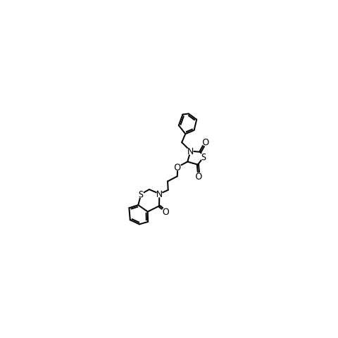 O=C1SC(=O)N(Cc2ccccc2)C1OCCCN1CSc2ccccc2C1=O